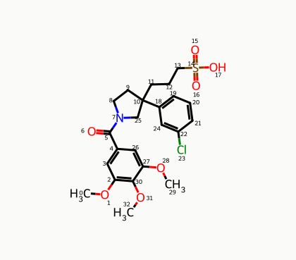 COc1cc(C(=O)N2CCC(CCCS(=O)(=O)O)(c3cccc(Cl)c3)C2)cc(OC)c1OC